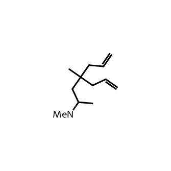 C=CCC(C)(CC=C)CC(C)NC